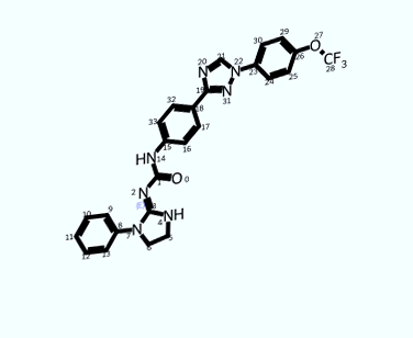 O=C(/N=C1\NCCN1c1ccccc1)Nc1ccc(-c2ncn(-c3ccc(OC(F)(F)F)cc3)n2)cc1